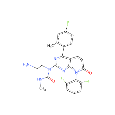 CNC(=O)N(CCN)c1nc(-c2ccc(F)cc2C)c2ccc(=O)n(-c3c(F)cccc3F)c2n1